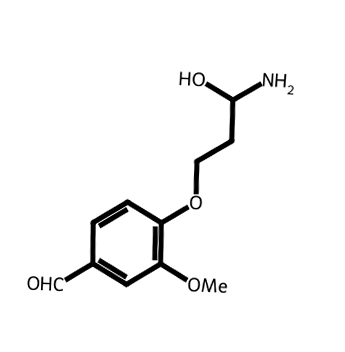 COc1cc(C=O)ccc1OCCC(N)O